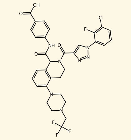 O=C(O)c1ccc(NC(=O)C2c3cccc(N4CCN(CC(F)(F)F)CC4)c3CCN2C(=O)c2cn(-c3cccc(Cl)c3F)nn2)cc1